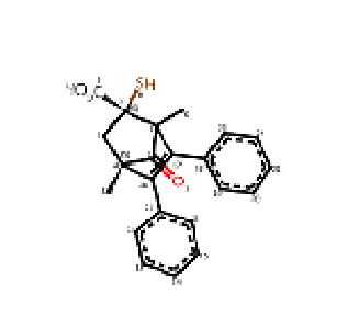 CC12C(=O)[C@@](C)(C[C@@]1(S)C(=O)O)C(c1ccccc1)=C2c1ccccc1